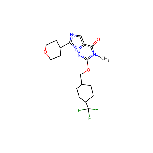 Cn1c(OCC2CCC(C(F)(F)F)CC2)nn2c(C3CCOCC3)ncc2c1=O